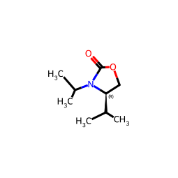 CC(C)[C@@H]1COC(=O)N1C(C)C